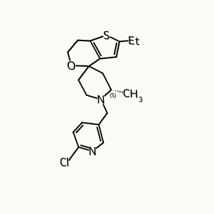 CCc1cc2c(s1)CCOC21CCN(Cc2ccc(Cl)nc2)[C@@H](C)C1